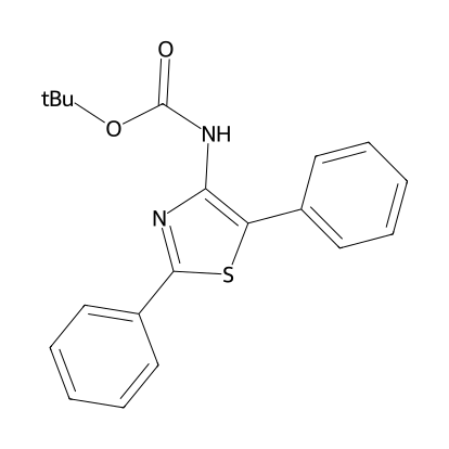 CC(C)(C)OC(=O)Nc1nc(-c2ccccc2)sc1-c1ccccc1